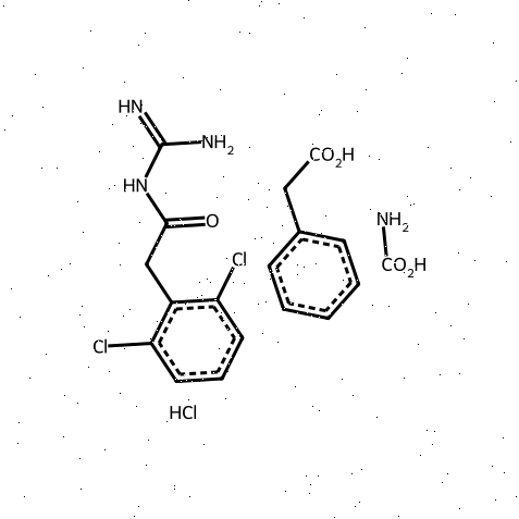 Cl.N=C(N)NC(=O)Cc1c(Cl)cccc1Cl.NC(=O)O.O=C(O)Cc1ccccc1